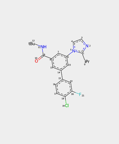 CC(C)c1nccn1-c1cc(C(=O)NC(C)(C)C)cc(-c2ccc(Cl)c(F)c2)c1